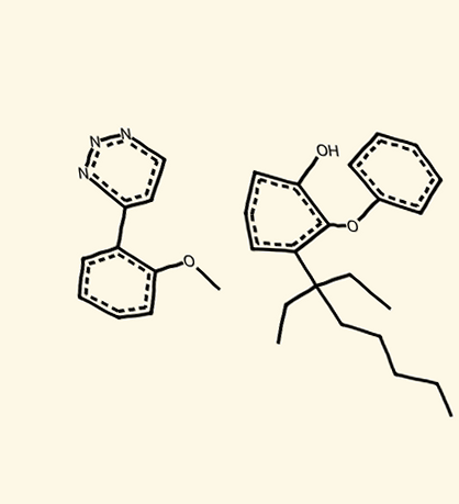 CCCCCC(CC)(CC)c1cccc(O)c1Oc1ccccc1.COc1ccccc1-c1ccnnn1